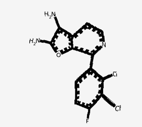 Nc1oc2c(-c3ccc(F)c(Cl)c3Cl)nccc2c1N